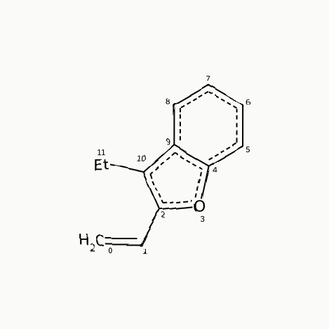 C=Cc1oc2ccccc2c1CC